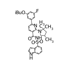 CC(C)COc1cc(F)cc(-c2ccc(C(=O)NS(=O)(=O)c3cccc4[nH]ccc34)c(N3CC(C)CC3(C)C)n2)c1